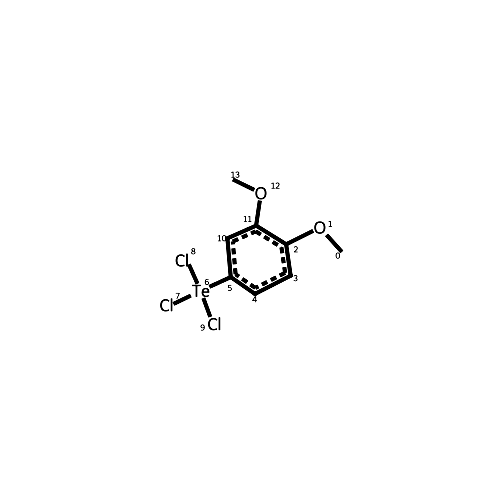 COc1ccc([Te](Cl)(Cl)Cl)cc1OC